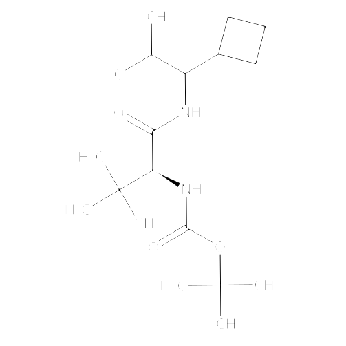 CC(C)C(NC(=O)[C@@H](NC(=O)OC(C)(C)C)C(C)(C)C)C1CCC1